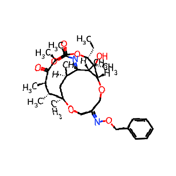 CC[C@H]1OC(=O)[C@H](C)C(=O)[C@H](C)[C@@H](C)[C@@]2(C)C[C@@H](C)/C(=N\C(C)=O)[C@H](C)[C@@H](OC/C(=N\OCc3ccccc3)CO2)[C@]1(C)O